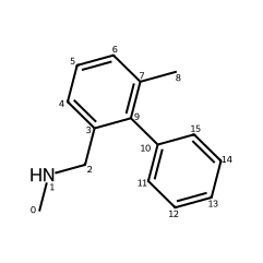 CNCc1cccc(C)c1-c1ccccc1